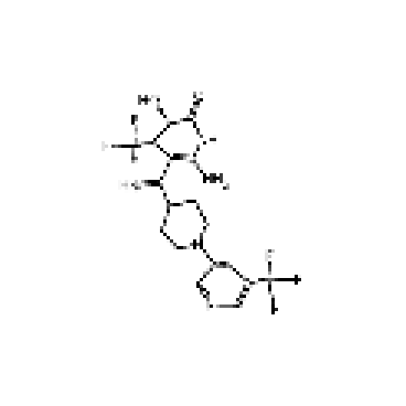 N=C(C1=C(N)NC(=O)[C@H](O)[C@@H]1C(F)(F)F)C1CCN(c2cncc(C(F)(F)F)c2)CC1